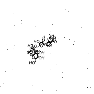 Nc1nc2c(ncn2[C@@H]2O[C@H](COP(=O)(O)OP(=O)(O)OC3O[C@@H](CO)[C@@H](O)[C@@H](O)[C@@H]3O)[C@@H](O)[C@H]2O)c(=O)[nH]1